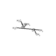 CCCCCCCCCC(CCCCCCCCCCC(=O)OC(CCCCCC)CCCCCC)N(CCCN(C)C)C(=O)CCCCCCCC